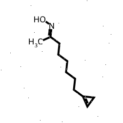 C/C(CCCCCCC1=CC1)=N\O